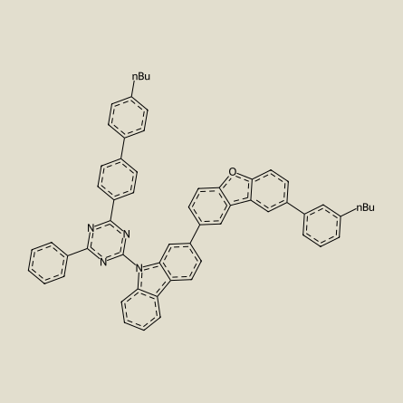 CCCCc1ccc(-c2ccc(-c3nc(-c4ccccc4)nc(-n4c5ccccc5c5ccc(-c6ccc7oc8ccc(-c9cccc(CCCC)c9)cc8c7c6)cc54)n3)cc2)cc1